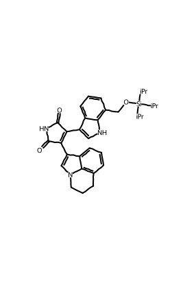 CC(C)[Si](OCc1cccc2c(C3=C(c4cn5c6c(cccc46)CCC5)C(=O)NC3=O)c[nH]c12)(C(C)C)C(C)C